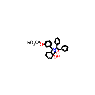 O=C(O)COc1cccc(CC2CCCCC2(O)c2nc(-c3ccccc3)c(-c3ccccc3)o2)c1